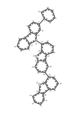 c1ccc(-c2ccc3c4ccccc4n(-c4cccc5c4sc4ccc(-c6cccc7c6oc6ccccc67)cc45)c3c2)cc1